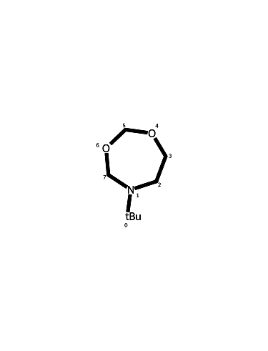 CC(C)(C)N1CCOCOC1